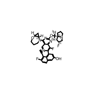 [2H]C([2H])(Oc1nc(N2CCCO[C@@H]3C[C@@H]32)c2cnc(-c3cc(O)cc4ccc(F)c(C#C)c34)c(F)c2n1)[C@@]12CCCN1C[C@H](F)C2